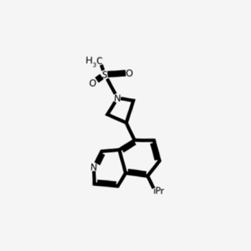 CC(C)c1ccc(C2CN(S(C)(=O)=O)C2)c2cnccc12